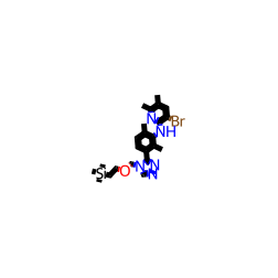 Cc1cc(Br)c(Nc2c(C)ccc(-c3nncn3COCC[Si](C)(C)C)c2C)nc1C